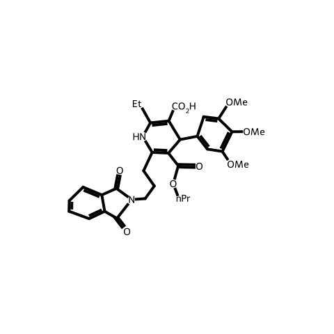 CCCOC(=O)C1=C(CCCN2C(=O)c3ccccc3C2=O)NC(CC)=C(C(=O)O)C1c1cc(OC)c(OC)c(OC)c1